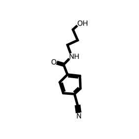 N#Cc1ccc(C(=O)NCCCO)cc1